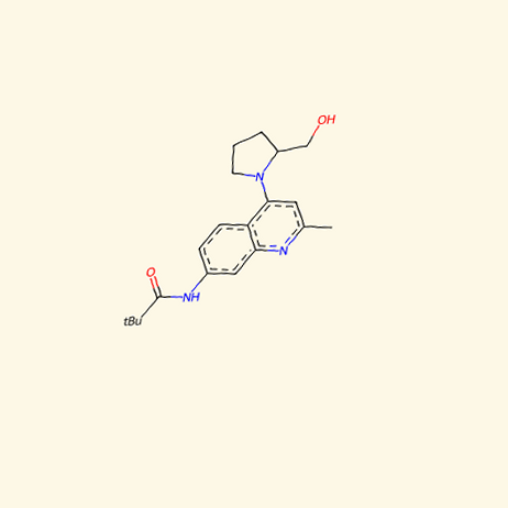 Cc1cc(N2CCCC2CO)c2ccc(NC(=O)C(C)(C)C)cc2n1